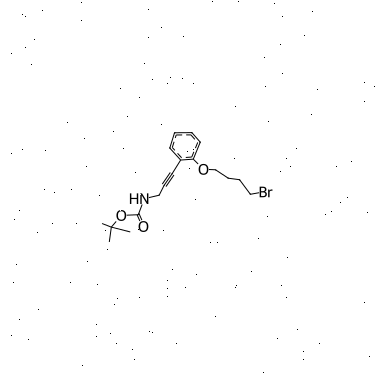 CC(C)(C)OC(=O)NCC#Cc1ccccc1OCCCCBr